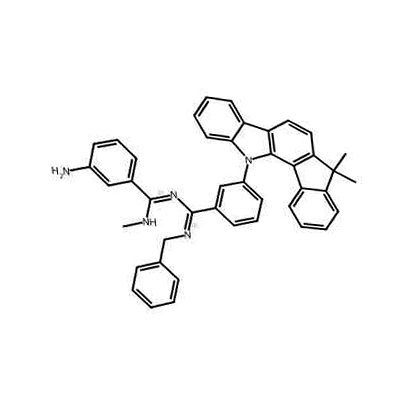 CN/C(=N\C(=N/Cc1ccccc1)c1cccc(-n2c3ccccc3c3ccc4c(c32)-c2ccccc2C4(C)C)c1)c1cccc(N)c1